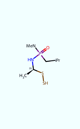 CNP(=O)(CC(C)C)N[C@H](C)SS